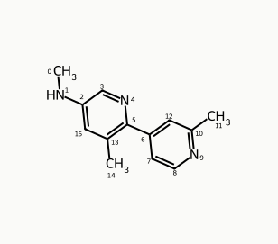 CNc1cnc(-c2ccnc(C)c2)c(C)c1